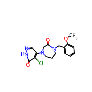 O=C1CN(c2cn[nH]c(=O)c2Cl)CCCN1Cc1ccccc1OC(F)(F)F